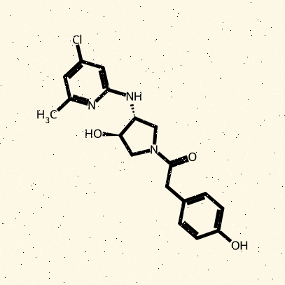 Cc1cc(Cl)cc(N[C@@H]2CN(C(=O)Cc3ccc(O)cc3)C[C@H]2O)n1